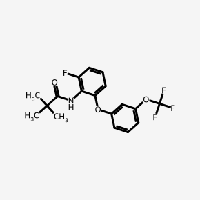 CC(C)(C)C(=O)Nc1c(F)cccc1Oc1cccc(OC(F)(F)F)c1